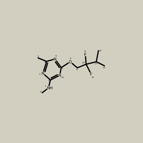 CNc1nc(C)nc(OCC(F)(F)C(C)C)n1